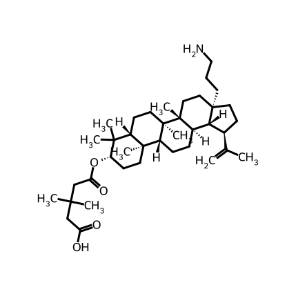 C=C(C)[C@@H]1CC[C@]2(CCCN)CC[C@]3(C)[C@H](CC[C@@H]4[C@@]5(C)CC[C@H](OC(=O)CC(C)(C)CC(=O)O)C(C)(C)[C@@H]5CC[C@]43C)[C@@H]12